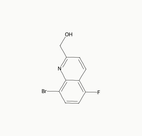 OCc1ccc2c(F)ccc(Br)c2n1